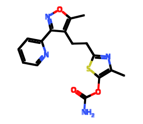 Cc1nc(CCc2c(-c3ccccn3)noc2C)sc1OC(N)=O